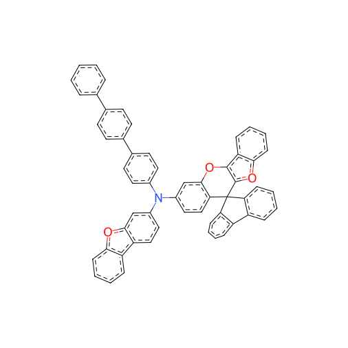 c1ccc(-c2ccc(-c3ccc(N(c4ccc5c(c4)Oc4c(oc6ccccc46)C54c5ccccc5-c5ccccc54)c4ccc5c(c4)oc4ccccc45)cc3)cc2)cc1